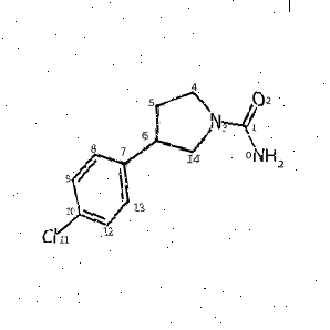 NC(=O)N1C[CH]C(c2ccc(Cl)cc2)C1